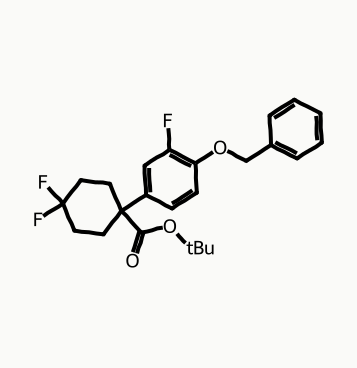 CC(C)(C)OC(=O)C1(c2ccc(OCc3ccccc3)c(F)c2)CCC(F)(F)CC1